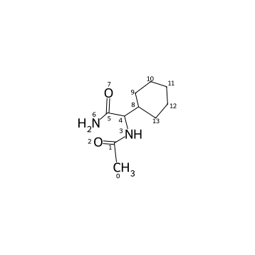 CC(=O)NC(C(N)=O)C1CCCCC1